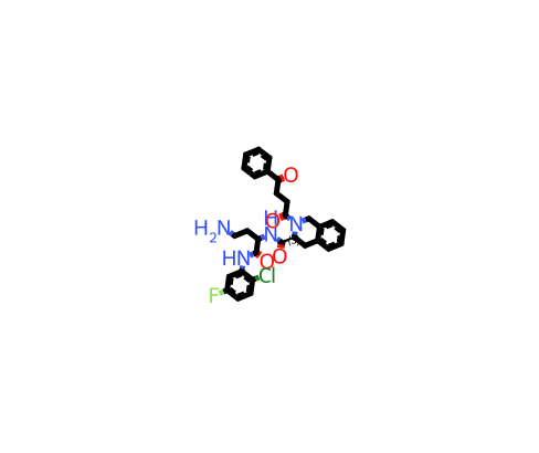 NCCC(NC(=O)[C@@H]1Cc2ccccc2CN1C(=O)CCC(=O)c1ccccc1)C(=O)Nc1cc(F)ccc1Cl